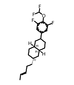 CC=CCC[C@@H]1CC[C@@H]2CC(c3cc(F)c(OC(F)F)c(F)c3)CC[C@@H]2C1